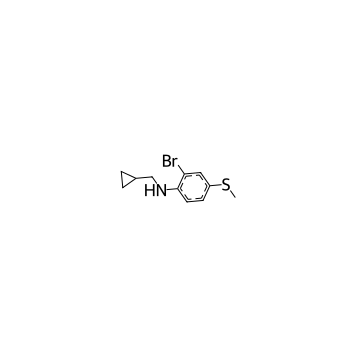 CSc1ccc(NCC2CC2)c(Br)c1